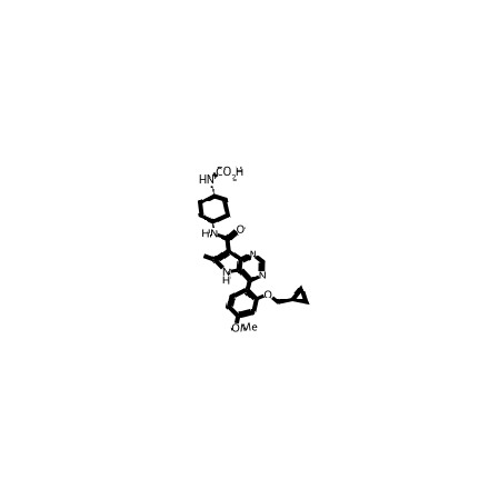 COc1ccc(-c2ncnc3c(C(=O)N[C@H]4CC[C@@H](NC(=O)O)CC4)c(C)[nH]c23)c(OCC2CC2)c1